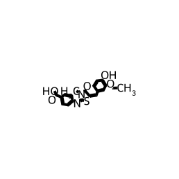 CCOc1cc(/C=C2/S/C(=N/c3ccc(C(=O)O)cc3)N(C)C2=O)ccc1O